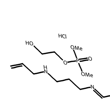 C=CCNCCCN=CCC.COP(=O)(OC)OCCO.Cl